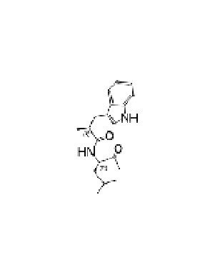 CC(=O)[C@@H](CC(C)C)NC(=O)[C@@H](C)Cc1c[nH]c2ccccc12